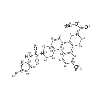 CC(C)(C)OC(=O)N1CC=C(c2cc(C(F)(F)F)ccc2-c2cccc3c2CCN(S(=O)(=O)Nc2ncc(F)s2)C3)CC1